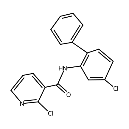 O=C(Nc1cc(Cl)ccc1-c1ccccc1)c1cccnc1Cl